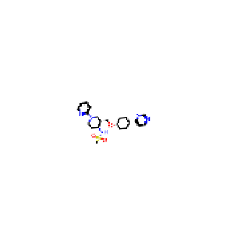 CS(=O)(=O)N[C@H]1CCN(c2ccccn2)C[C@H]1CO[C@H]1CC[C@@H](c2ccncn2)CC1